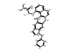 C[C@@H](Oc1cccc2ncnc(Nc3cc4ccn(Cc5ccccn5)c4cc3F)c12)C(=O)N(C)C